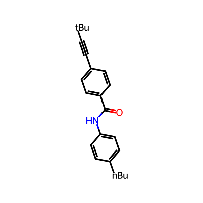 CCCCc1ccc(NC(=O)c2ccc(C#CC(C)(C)C)cc2)cc1